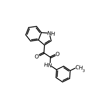 Cc1cccc(NC(=O)C(=O)c2c[nH]c3ccccc23)c1